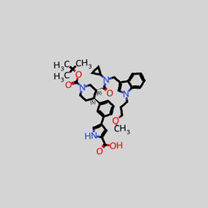 COCCCn1cc(CN(C(=O)[C@H]2CN(C(=O)OC(C)(C)C)CC[C@@H]2c2cccc(-c3c[nH]c(C(=O)O)c3)c2)C2CC2)c2ccccc21